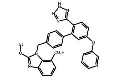 CCOc1nc2cccc(C(=O)O)c2n1Cc1ccc(-c2cc(Oc3cccnc3)ccc2-c2nn[nH]n2)cc1